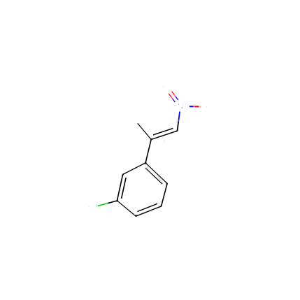 C/C(=C\[N+](=O)[O-])c1cccc(Cl)c1